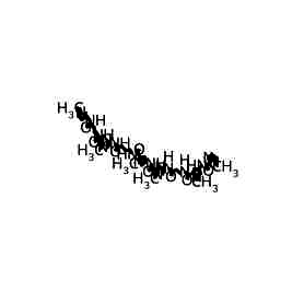 Cn1ccc(NC(=O)CCNC(=O)c2nc(NC(=O)CCCNC(=O)c3cc(NC(=O)c4nc(NC(=O)CCNC(=O)c5cc(NC(=O)c6nccn6C)cn5C)cn4C)cn3C)cn2C)c1